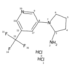 Cl.Cl.NC1CCCN1c1cncc(C(F)(F)F)c1